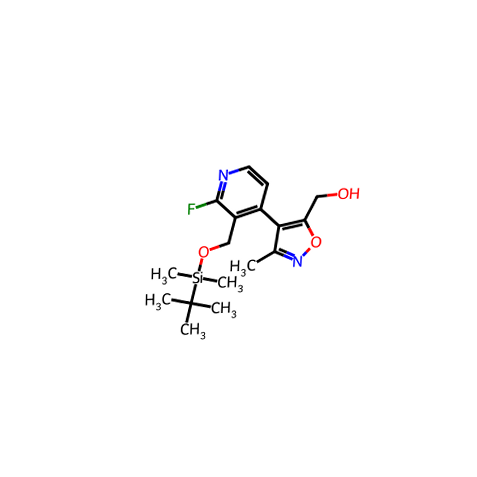 Cc1noc(CO)c1-c1ccnc(F)c1CO[Si](C)(C)C(C)(C)C